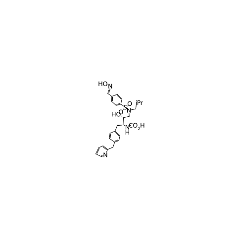 CC(C)CN(C[C@@H](O)[C@H](Cc1ccc(Cc2ccccn2)cc1)NC(=O)O)S(=O)(=O)c1ccc(C=NO)cc1